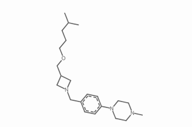 CC(C)CCCOCC1CN(Cc2ccc(N3CCN(C)CC3)cc2)C1